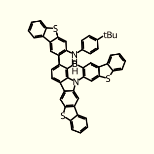 CC(C)(C)c1ccc(Nc2cc3sc4ccccc4c3cc2-c2ccc3c4cc5sc6ccccc6c5cc4n4c3c2Bc2cc3c(cc2-4)sc2ccccc23)cc1